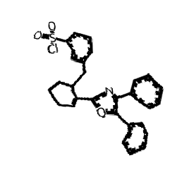 O=S(=O)(Cl)c1cccc(CC2CCCC=C2c2nc(-c3ccccc3)c(-c3ccccc3)o2)c1